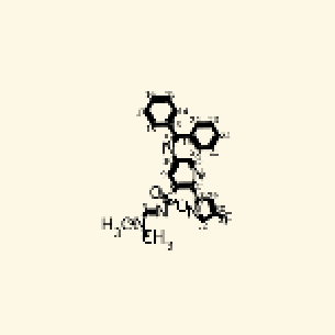 CN(C)/C=N/S(=O)(=O)c1cc(N=C(c2ccccc2)c2ccccc2)cnc1-n1cc(F)cn1